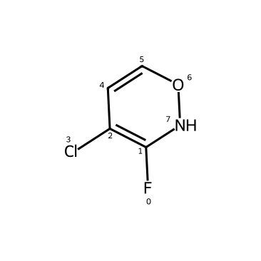 FC1=C(Cl)C=CON1